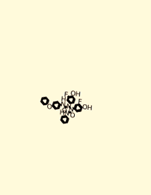 O=C(Nc1ccccc1)N(c1ccc(O)c(F)c1)N(C(=O)Nc1ccc(Oc2ccccc2)cc1)c1ccc(O)c(F)c1